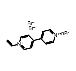 C=C[n+]1ccc(-c2cc[n+](CCC)cc2)cc1.[Br-].[Br-]